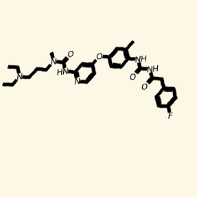 CCN(CC)CCCN(C)C(=O)Nc1cc(Oc2ccc(NC(=O)NC(=O)Cc3ccc(F)cc3)c(C)c2)ccn1